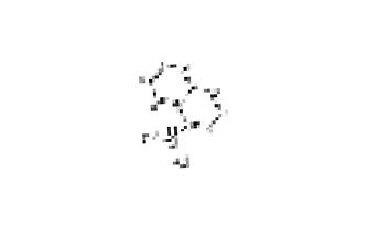 Cl[SiH](Cl)c1cccc2ccccc12